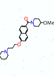 COC1CCN(C(=O)c2ccc3cc(OCCCN4CCCCC4)ccc3c2)CC1